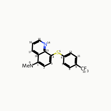 CNc1ccc(Sc2ccc(C(F)(F)F)cc2)c2ncccc12